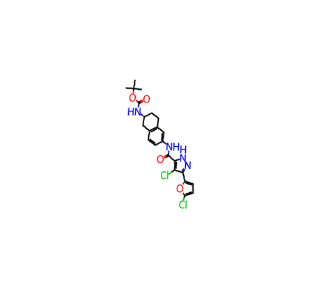 CC(C)(C)OC(=O)N[C@H]1CCc2cc(NC(=O)c3[nH]nc(-c4ccc(Cl)o4)c3Cl)ccc2C1